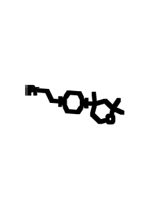 CC(C)CCN1CCN(C2(C)CCOC(C)(C)C2)CC1